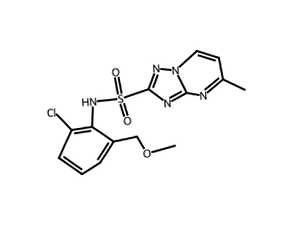 COCc1cccc(Cl)c1NS(=O)(=O)c1nc2nc(C)ccn2n1